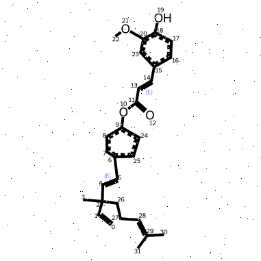 C=CC(C)(/C=C/c1ccc(OC(=O)/C=C/c2ccc(O)c(OC)c2)cc1)CCC=C(C)C